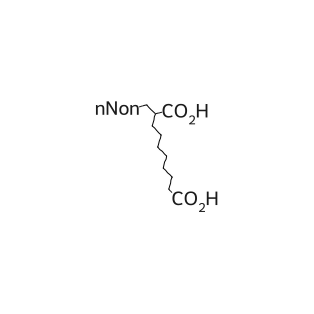 CCCCCCCCCCC(CCCCCCCC(=O)O)C(=O)O